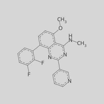 CNc1nc(-c2cccnc2)nc2c(-c3cccc(F)c3F)ccc(OC)c12